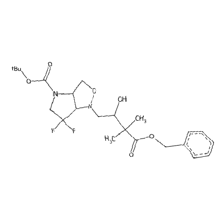 CC(C)(C)OC(=O)N1CC(F)(F)C2C1CON2CC(O)C(C)(C)C(=O)OCc1ccccc1